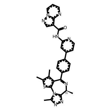 Cc1sc2c(c1C)C(c1ccc(-c3ccnc(NC(=O)c4cnn5cccnc45)c3)cc1)=N[C@@H](C)c1nnc(C)n1-2